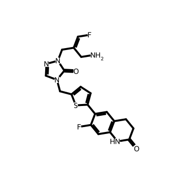 NC/C(=C\F)Cn1ncn(Cc2ccc(-c3cc4c(cc3F)NC(=O)CC4)s2)c1=O